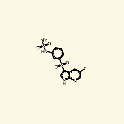 CCCS(=O)(=O)Nc1cccc(S(=O)(=O)c2c[nH]c3ncc(Cl)cc23)c1